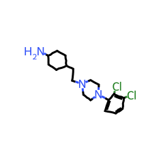 NC1CCC(CCN2CCN(c3cccc(Cl)c3Cl)CC2)CC1